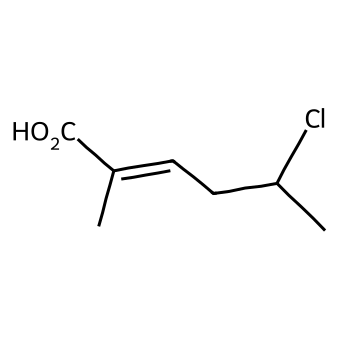 CC(=CCC(C)Cl)C(=O)O